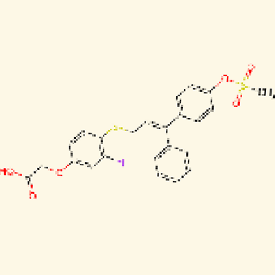 CS(=O)(=O)Oc1ccc(C(=CCSc2ccc(OCC(=O)O)cc2I)c2ccccc2)cc1